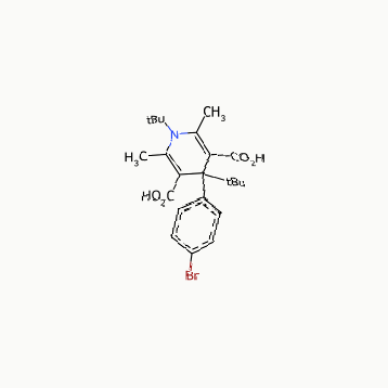 CC1=C(C(=O)O)C(c2ccc(Br)cc2)(C(C)(C)C)C(C(=O)O)=C(C)N1C(C)(C)C